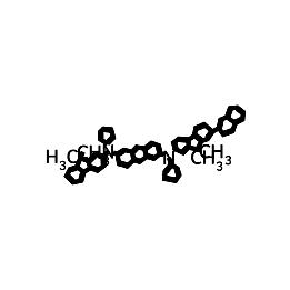 CC1(C)c2ccccc2-c2ccc(N(c3ccccc3)c3ccc4cc5cc(N(c6ccccc6)c6ccc7c(c6)C(C)(C)c6cc(-c8ccc9ccccc9c8)ccc6-7)ccc5cc4c3)cc21